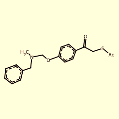 CC(=O)SCC(=O)c1ccc(OCN(C)Cc2ccccc2)cc1